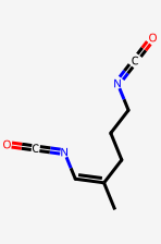 CC(=CN=C=O)CCCN=C=O